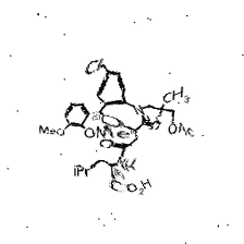 COc1cccc([C@H]2O[C@H](CC(=O)N[C@H](CC(C)C)C(=O)O)C(=O)N(CC(C)(C)COC(C)=O)c3ccc(Cl)cc32)c1OC